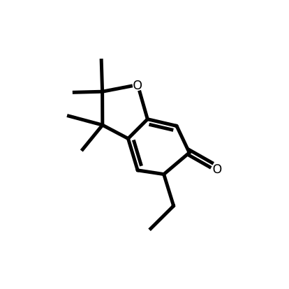 CCC1C=C2C(=CC1=O)OC(C)(C)C2(C)C